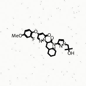 COc1ccc(Oc2cnn(C(CC3CCCCC3)C(=O)Nc3ccn(CC(C)(C)O)n3)c(=O)c2)c(F)c1